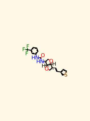 O=C(Nc1cccc(C(F)(F)F)c1)N[C@H]1CO[C@H]2[C@@H]1OC[C@@H]2C=Cc1ccsc1